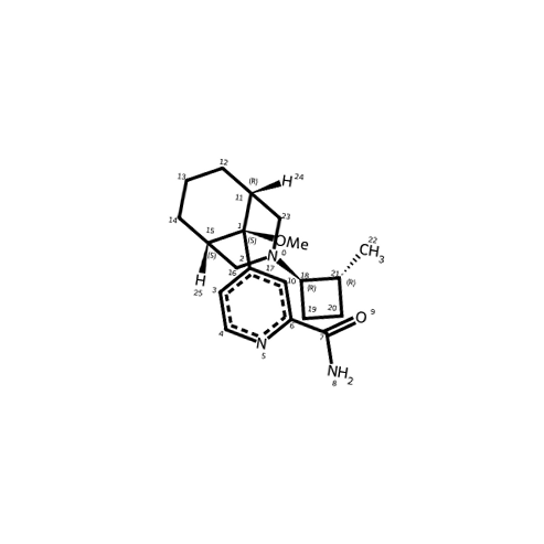 CO[C@]1(c2ccnc(C(N)=O)c2)[C@@H]2CCC[C@H]1CN([C@@H]1CC[C@H]1C)C2